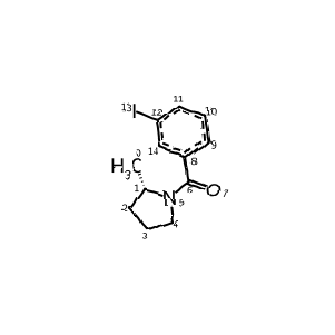 C[C@H]1CCCN1C(=O)c1cccc(I)c1